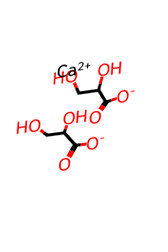 O=C([O-])C(O)CO.O=C([O-])C(O)CO.[Ca+2]